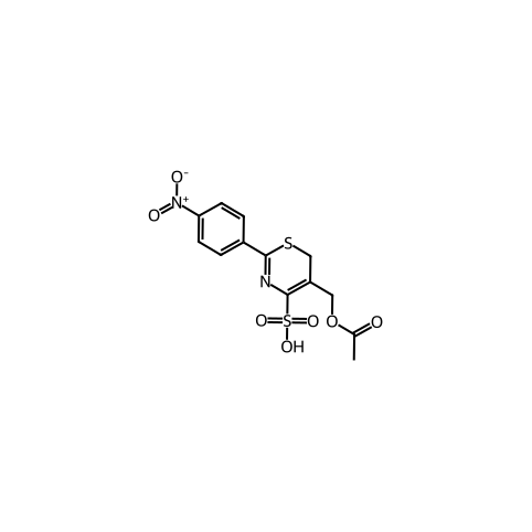 CC(=O)OCC1=C(S(=O)(=O)O)N=C(c2ccc([N+](=O)[O-])cc2)SC1